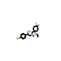 C=COC1(CN(C)CC(O)c2ccc(Br)cc2)CCC(F)(F)CC1